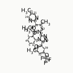 COc1cccc(OC)c1-n1c(NSC(C)C(OC)c2ncc(C)cn2)nnc1-c1cccc(OC(F)(F)F)c1